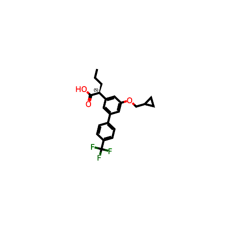 CCC[C@H](C(=O)O)c1cc(OCC2CC2)cc(-c2ccc(C(F)(F)F)cc2)c1